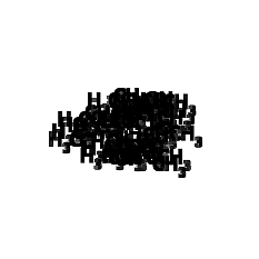 Cc1c(Cc2cc(C(C)(C)C)c(O)c(C(C)(C)C)c2)c(C)c(Cc2cc(C(C)(C)C)c(O)c(C(C)(C)C)c2)c(C)c1Cc1cc(C(C)(C)C)c(O)c(C(C)(C)C)c1.Cc1cc(C)c(Cc2cc(C(C)(C)C)c(O)c(C(C)(C)C)c2)c(C)c1Cc1cc(C(C)(C)C)c(O)c(C(C)(C)C)c1